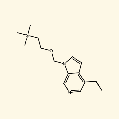 CCc1cncc2c1ccn2COCC[Si](C)(C)C